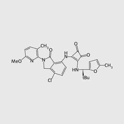 COc1ccc(C)c(N2Cc3c(Cl)ccc(Nc4c(N[C@@H](c5ccc(C)o5)C(C)(C)C)c(=O)c4=O)c3C2=O)n1